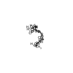 CC(=O)OC(C)OC(=O)CNC(=O)Cc1csc(-c2ccc(OCCN3CCN(C(=O)C[C@@H]4N=C(c5ccc(Cl)cc5)c5c(sc(C)c5C)-n5c(C)nnc54)CC3)cc2Cl)n1